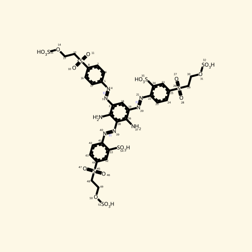 Nc1c(/N=N/c2ccc(S(=O)(=O)CCOS(=O)(=O)O)cc2)cc(/N=N/c2ccc(S(=O)(=O)CCOS(=O)(=O)O)cc2S(=O)(=O)O)c(N)c1/N=N/c1ccc(S(=O)(=O)CCOS(=O)(=O)O)cc1S(=O)(=O)O